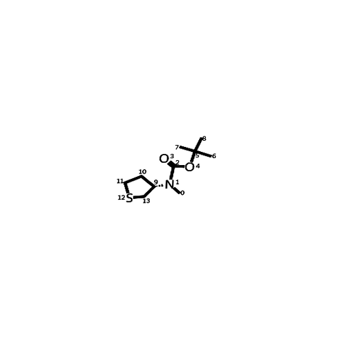 CN(C(=O)OC(C)(C)C)[C@H]1CCSC1